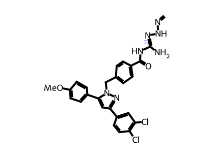 C=NN/N=C(\N)NC(=O)c1ccc(Cn2nc(-c3ccc(Cl)c(Cl)c3)cc2-c2ccc(OC)cc2)cc1